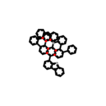 c1ccc(-c2ccccc2-c2ccccc2N(c2ccc(-c3cccc4c3oc3ccccc34)cc2)c2cccc(-c3ccccc3-c3ccccc3-n3c4ccccc4c4ccccc43)c2)cc1